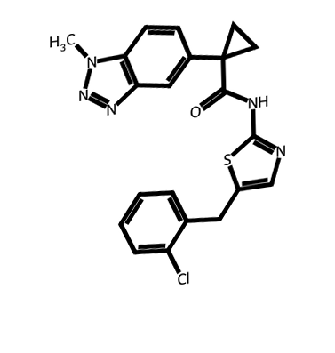 Cn1nnc2cc(C3(C(=O)Nc4ncc(Cc5ccccc5Cl)s4)CC3)ccc21